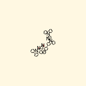 c1ccc2c(c1)Oc1ccc(-c3ccc4c(c3)c3ccccc3n4-c3ccc(-n4c5ccccc5c5ccccc54)cn3)cc1C21c2cccnc2-c2ncc(-n3c4ccccc4c4ccccc43)cc21